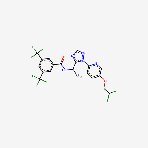 CC(NC(=O)c1cc(C(F)(F)F)cc(C(F)(F)F)c1)c1ncnn1-c1ccc(OCC(F)F)cn1